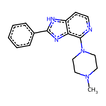 CN1CCN(c2nccc3[nH]c(-c4ccccc4)nc23)CC1